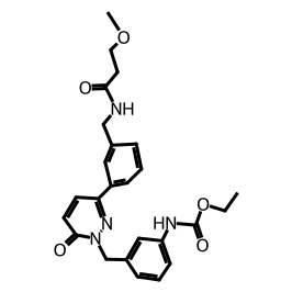 CCOC(=O)Nc1cccc(Cn2nc(-c3cccc(CNC(=O)CCOC)c3)ccc2=O)c1